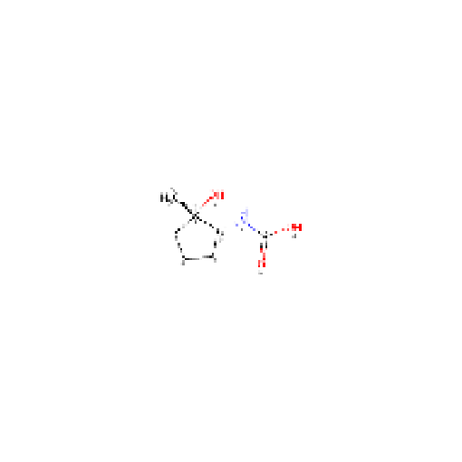 C[C@]1(O)CCC[C@H]1NC(=O)O